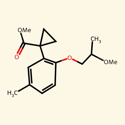 COC(=O)C1(c2cc(C)ccc2OCC(C)OC)CC1